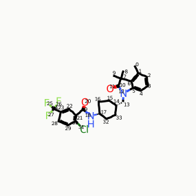 Cc1cccc2c1C(C)(C)C(=O)N2C[C@H]1CC[C@H](NC(=O)c2cc(C(F)(F)F)ccc2Cl)CC1